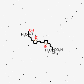 CC(C)(CO)CCCC1CCC(C=CC2CCC(CCCC(C)(C)C(=O)O)[S+]2[O-])[S+]1[O-]